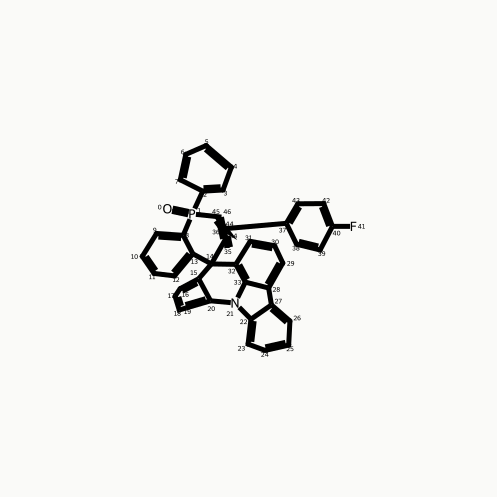 O=P1(c2ccccc2)c2ccccc2C2(c3ccccc3-n3c4ccccc4c4cccc2c43)c2cc(-c3ccc(F)cc3)ccc21